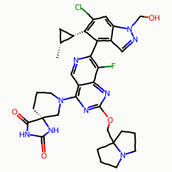 C[C@@H]1C[C@@H]1c1c(Cl)cc2c(cnn2CO)c1-c1ncc2c(N3CCC[C@]4(C3)NC(=O)NC4=O)nc(OCC34CCCN3CCC4)nc2c1F